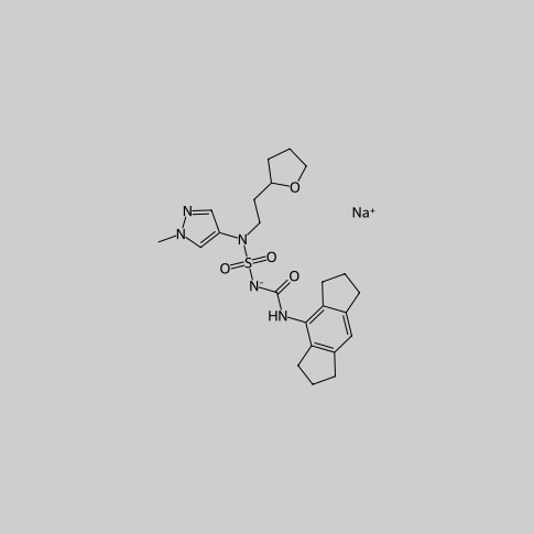 Cn1cc(N(CCC2CCCO2)S(=O)(=O)[N-]C(=O)Nc2c3c(cc4c2CCC4)CCC3)cn1.[Na+]